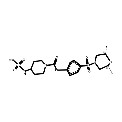 C[C@@H]1CN(S(=O)(=O)c2ccc(NC(=O)N3CCC(NS(=O)(=O)C(C)(C)C)CC3)cc2)C[C@H](C)O1